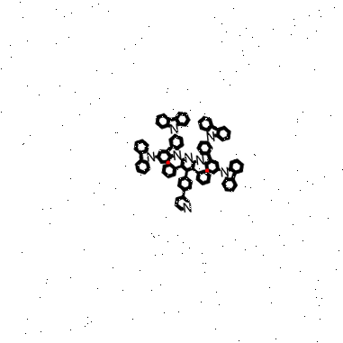 c1ccc(-c2c(-n3c4ccc(-n5c6ccccc6c6ccccc65)cc4c4cc(-n5c6ccccc6c6ccccc65)ccc43)nc(-n3c4ccc(-n5c6ccccc6c6ccccc65)cc4c4cc(-n5c6ccccc6c6ccccc65)ccc43)c(-c3ccccc3)c2-c2ccc(-c3cccnc3)cc2)cc1